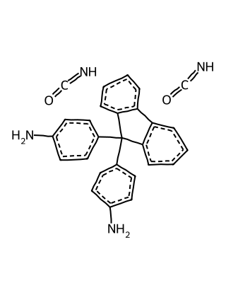 N=C=O.N=C=O.Nc1ccc(C2(c3ccc(N)cc3)c3ccccc3-c3ccccc32)cc1